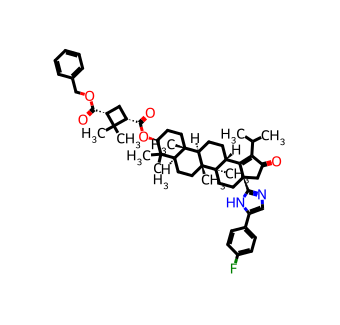 CC(C)C1=C2[C@H]3CC[C@@H]4[C@@]5(C)CC[C@H](OC(=O)[C@H]6C[C@@H](C(=O)OCc7ccccc7)C6(C)C)C(C)(C)[C@@H]5CC[C@@]4(C)[C@]3(C)CC[C@@]2(c2ncc(-c3ccc(F)cc3)[nH]2)CC1=O